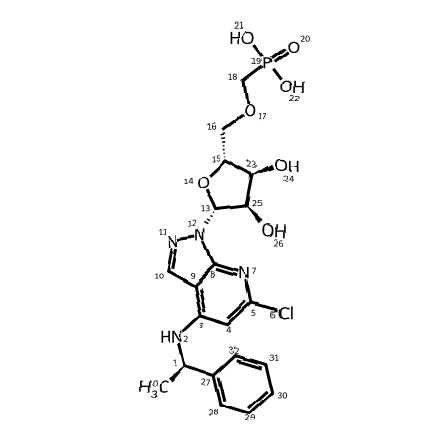 C[C@@H](Nc1cc(Cl)nc2c1cnn2[C@@H]1O[C@H](COCP(=O)(O)O)[C@@H](O)[C@H]1O)c1ccccc1